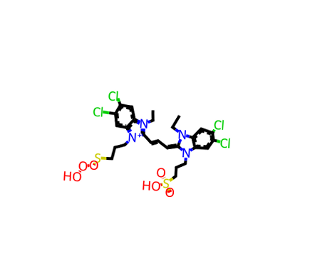 CCN1C(=CC=Cc2n(CC)c3cc(Cl)c(Cl)cc3[n+]2CCCSOOO)N(CCCS(=O)(=O)O)c2cc(Cl)c(Cl)cc21